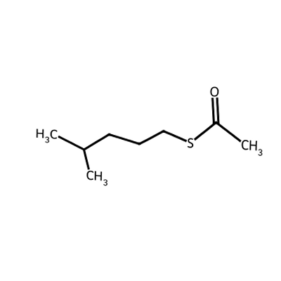 CC(=O)SCCCC(C)C